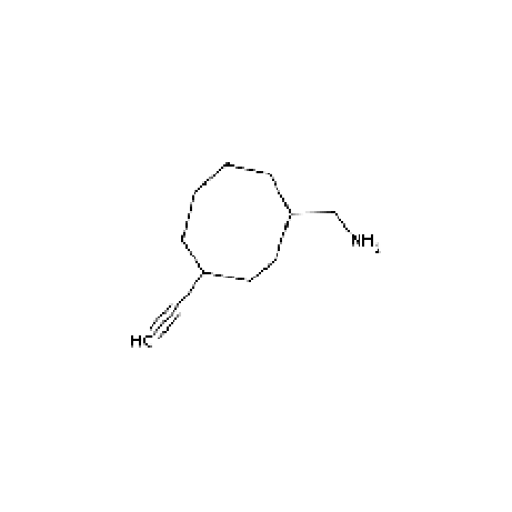 C#CC1CCCCC(CN)CC1